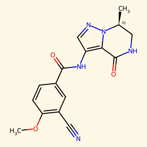 COc1ccc(C(=O)Nc2cnn3c2C(=O)NC[C@@H]3C)cc1C#N